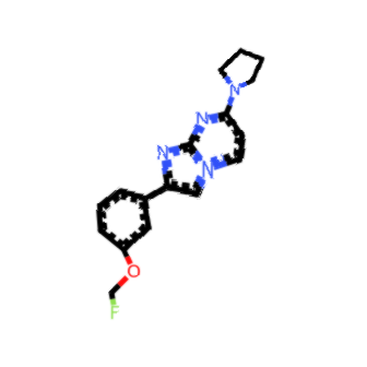 FCOc1cccc(-c2cn3ccc(N4CCCC4)nc3n2)c1